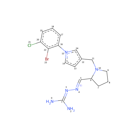 NC(N)=N/N=C/C1CCCN1Cc1ccn(-c2cccc(Cl)c2Br)c1